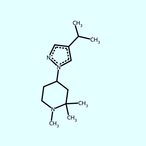 CC(C)c1cnn(C2CCN(C)C(C)(C)C2)c1